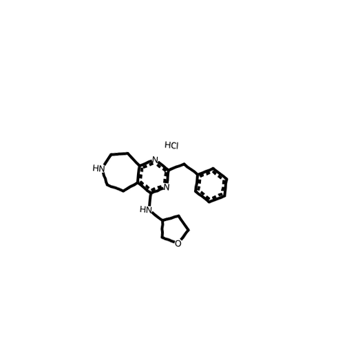 Cl.c1ccc(Cc2nc3c(c(NC4CCOC4)n2)CCNCC3)cc1